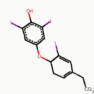 O=C(O)CC1=CCC(Oc2cc(I)c(O)c(I)c2)C(I)=C1